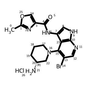 Cc1nc(C(=O)Nc2c[nH]c3ncc(Br)c(N4CCC[C@@H](N)C4)c23)co1.Cl